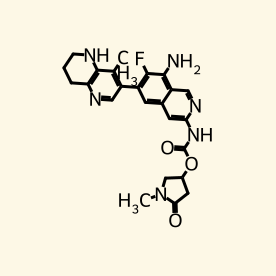 Cc1c(-c2cc3cc(NC(=O)OC4CC(=O)N(C)C4)ncc3c(N)c2F)cnc2c1NCCC2